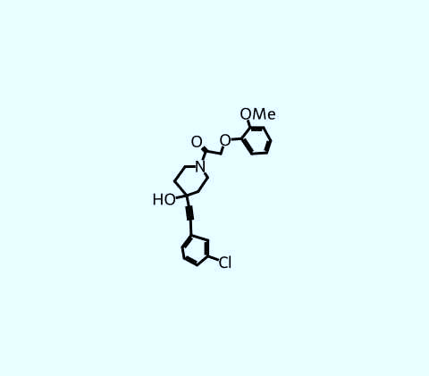 COc1ccccc1OCC(=O)N1CCC(O)(C#Cc2cccc(Cl)c2)CC1